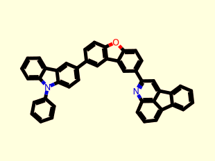 c1ccc(-n2c3ccccc3c3cc(-c4ccc5oc6ccc(-c7cc8c9c(cccc9n7)-c7ccccc7-8)cc6c5c4)ccc32)cc1